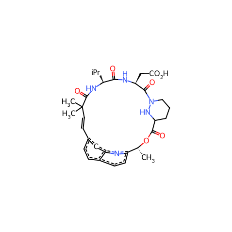 CC(C)[C@@H]1NC(=O)C(C)(C)/C=C/c2ccc3ccc(nc3c2)[C@@H](C)OC(=O)C2CCCN(N2)C(=O)[C@H](CC(=O)O)NC1=O